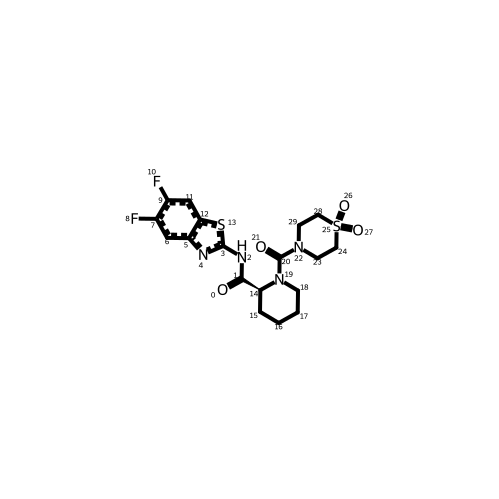 O=C(Nc1nc2cc(F)c(F)cc2s1)[C@@H]1CCCCN1C(=O)N1CCS(=O)(=O)CC1